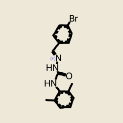 Cc1cccc(C)c1NC(=O)N/N=C/c1ccc(Br)cc1